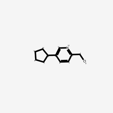 ClCc1ccc(C2CCCC2)cn1